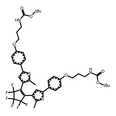 Cc1sc(-c2ccc(OCCCNC(=O)OC(C)(C)C)cc2)cc1C1=C(c2cc(-c3ccc(OCCCNC(=O)OC(C)(C)C)cc3)sc2C)C(F)(F)C(F)(F)C1(F)F